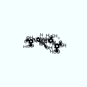 COc1cc(N=Nc2cc(C(=O)O)cc(C(=O)O)c2)ccc1Nc1nc(NCCO)nc(Nc2ccc(N=Nc3cc(C(=O)O)cc(C(=O)O)c3)cc2OC)n1